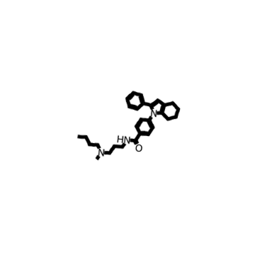 CCCCN(C)CCCNC(=O)c1ccc(-n2c(-c3ccccc3)cc3c2CCCC3)cc1